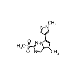 Cc1cc(-c2cnn(C)c2)n2nc(S(C)(=O)=O)ncc12